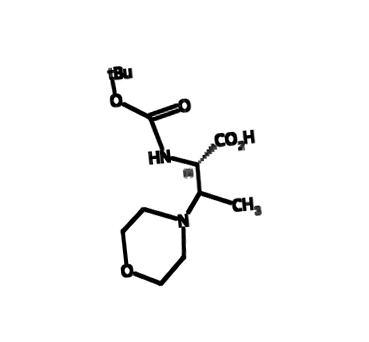 CC([C@H](NC(=O)OC(C)(C)C)C(=O)O)N1CCOCC1